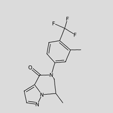 Cc1cc(N2CC(C)n3nccc3C2=O)ccc1C(F)(F)F